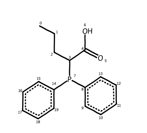 CCCC(C(=O)O)P(c1ccccc1)c1ccccc1